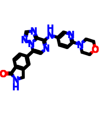 O=C1NCc2cc(-c3cnc(Nc4ccc(N5CCOCC5)nc4)c4ncnn34)ccc21